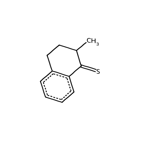 CC1CCc2ccccc2C1=S